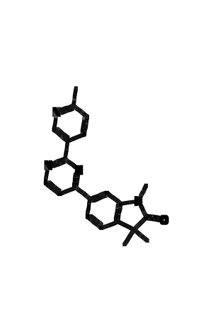 Cc1ccc(-c2nccc(-c3ccc4c(c3)N(C)C(=O)C4(C)C)n2)cn1